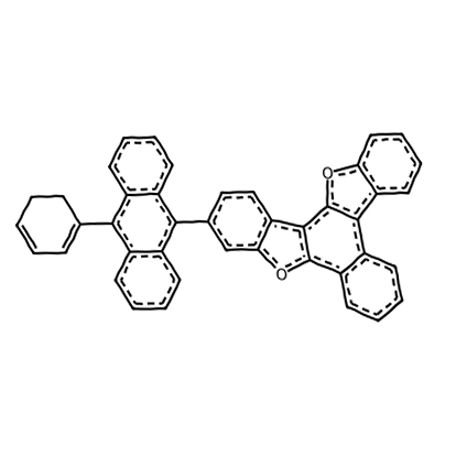 C1=CCCC(c2c3ccccc3c(-c3ccc4c(c3)oc3c5ccccc5c5c6ccccc6oc5c43)c3ccccc23)=C1